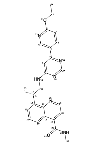 CCOc1ccc(-c2cc(NC[C@@H](C)c3cccc4c(C(=O)NC)ccnc34)ncn2)cn1